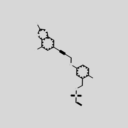 C=CS(=O)(=O)NCc1cc(NCC#Cc2cc(O)c3nc(N)sc3c2)ccc1Cl